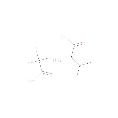 CC(C)[C@H](N)C(=O)O.O=C(O)C(F)(F)F